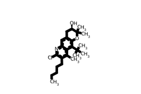 CCCCCc1c(Cl)nc2cc3c(c(C(C)(C)C)c2c1C)OC(C)(C)[C@H](O)[CH]3